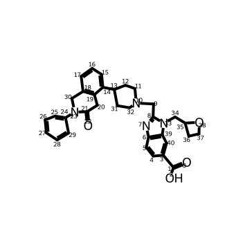 O=C(O)c1ccc2nc(CN3CCC(c4cccc5c4CC(=O)N(c4ccccc4)C5)CC3)n(CC3CCO3)c2c1